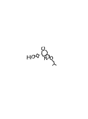 CC(C)CCOc1cnc2c(c1)CCC(=O)CC([C@H]1C[C@H](O)C1)C2